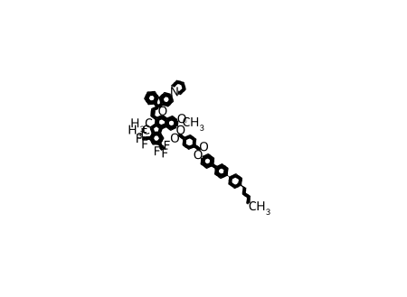 CCCCC[C@H]1CC[C@H](c2ccc(-c3ccc(OC(=O)C4CCC(C(=O)Oc5cc6c7c(c8c(c6cc5OC)OC(c5ccccc5)(c5ccc(N6CCCCC6)cc5)C=C8)C(C)(C)c5c-7cc(C(F)(F)F)cc5C(F)(F)F)CC4)cc3)cc2)CC1